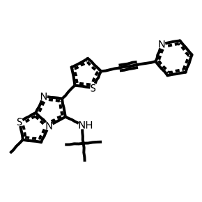 Cc1cn2c(NC(C)(C)C)c(-c3ccc(C#Cc4ccccn4)s3)nc2s1